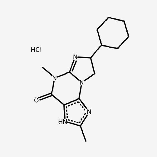 Cc1nc2c([nH]1)C(=O)N(C)C1=NC(C3CCCCC3)CN12.Cl